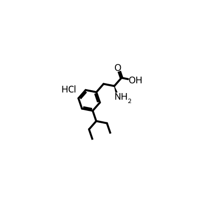 CCC(CC)c1cccc(C[C@H](N)C(=O)O)c1.Cl